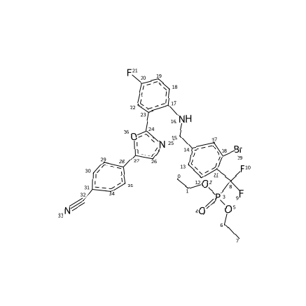 CCOP(=O)(OCC)C(F)(F)c1ccc(CNc2ccc(F)cc2-c2ncc(-c3ccc(C#N)cc3)o2)cc1Br